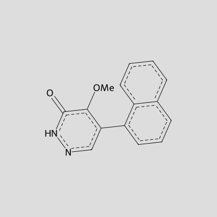 COc1c(-c2cccc3ccccc23)cn[nH]c1=O